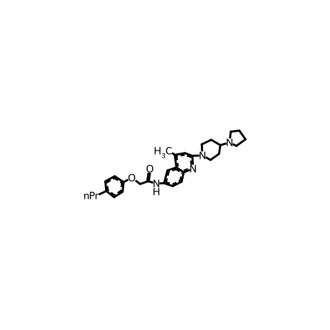 CCCc1ccc(OCC(=O)Nc2ccc3nc(N4CCC(N5CCCC5)CC4)cc(C)c3c2)cc1